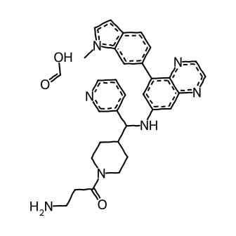 Cn1ccc2ccc(-c3cc(NC(c4cccnc4)C4CCN(C(=O)CCN)CC4)cc4nccnc34)cc21.O=CO